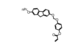 C=CC(=O)Oc1ccc(OCOc2ccc3c(c2)Cc2cc(OCCC)ccc2-3)cc1